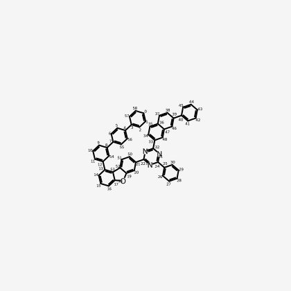 c1ccc(-c2ccc(-c3cccc(-c4cccc5oc6cc(-c7nc(-c8ccccc8)nc(-c8ccc9ccc(-c%10ccccc%10)cc9c8)n7)ccc6c45)c3)cc2)cc1